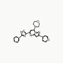 c1ccc(-c2nsc(-c3cc(N4CCOCC4)n4nc(-c5ccncc5)cc4n3)n2)cc1